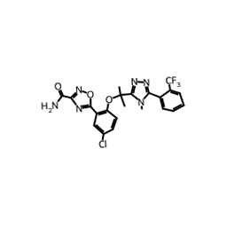 Cn1c(-c2ccccc2C(F)(F)F)nnc1C(C)(C)Oc1ccc(Cl)cc1-c1nc(C(N)=O)no1